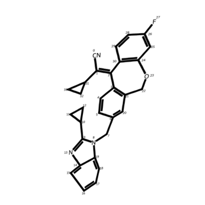 N#CC(=C1c2ccc(Cn3c(C4CC4)nc4ccccc43)cc2COc2cc(F)ccc21)C1CC1